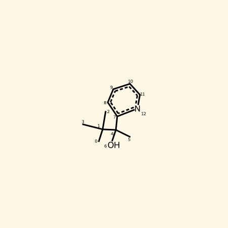 CC(C)(C)C(C)(O)c1ccccn1